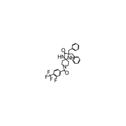 O=C(c1ccc(C(F)(F)F)c(F)c1)N1CCC2(CC1)NC(=O)C(Cc1ccccc1)(Cc1ccccc1)N2